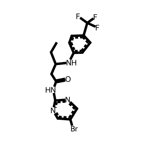 CCC(CC(=O)Nc1ncc(Br)cn1)Nc1ccc(C(F)(F)F)cc1